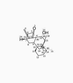 C=C1C(=O)[C@]23CC[C@H]1CC2[C@@]12CCC[C@@](C)(CN(C)C1)C2C[C@H]3O